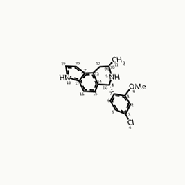 COc1cc(Cl)ccc1[C@H]1N[C@H](C)Cc2c1ccc1[nH]ccc21